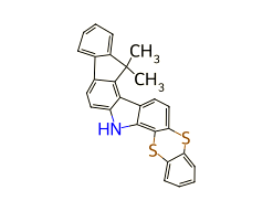 CC1(C)c2ccccc2-c2ccc3[nH]c4c5c(ccc4c3c21)Sc1ccccc1S5